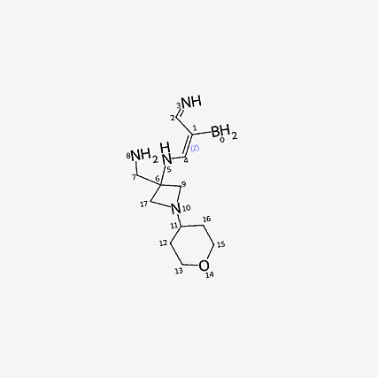 B/C(C=N)=C/NC1(CN)CN(C2CCOCC2)C1